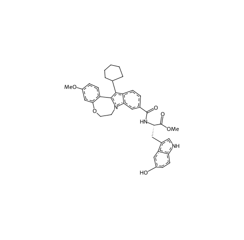 COC(=O)[C@H](Cc1c[nH]c2ccc(O)cc12)NC(=O)c1ccc2c(C3CCCCC3)c3n(c2c1)CCOc1cc(OC)ccc1-3